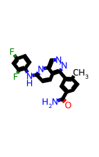 Cc1ccc(C(N)=O)cc1-c1nncc2nc(Nc3ccc(F)cc3F)ccc12